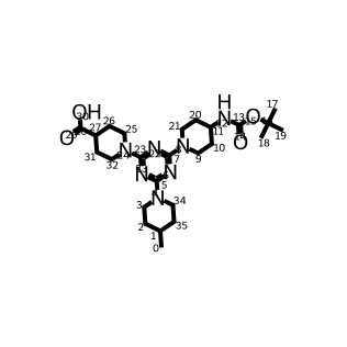 CC1CCN(c2nc(N3CCC(NC(=O)OC(C)(C)C)CC3)nc(N3CCC(C(=O)O)CC3)n2)CC1